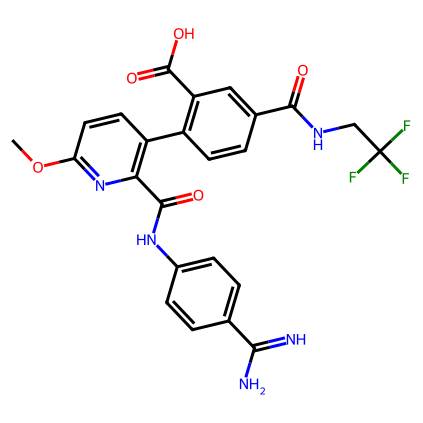 COc1ccc(-c2ccc(C(=O)NCC(F)(F)F)cc2C(=O)O)c(C(=O)Nc2ccc(C(=N)N)cc2)n1